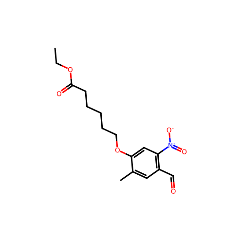 CCOC(=O)CCCCCOc1cc([N+](=O)[O-])c(C=O)cc1C